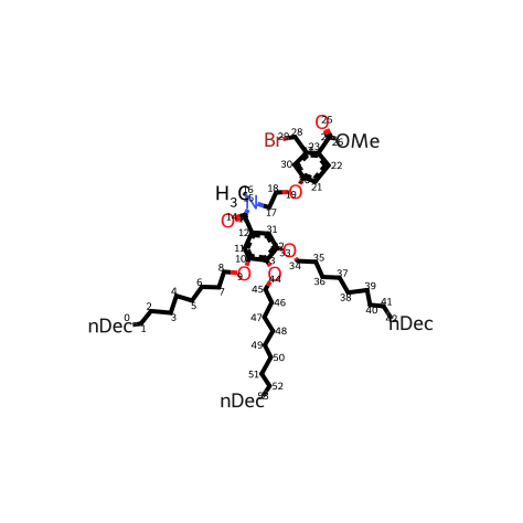 CCCCCCCCCCCCCCCCCCOc1cc(C(=O)N(C)CCOc2ccc(C(=O)OC)c(CBr)c2)cc(OCCCCCCCCCCCCCCCCCC)c1OCCCCCCCCCCCCCCCCCC